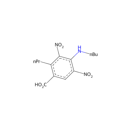 CCCCNc1c([N+](=O)[O-])cc(C(=O)O)c(CCC)c1[N+](=O)[O-]